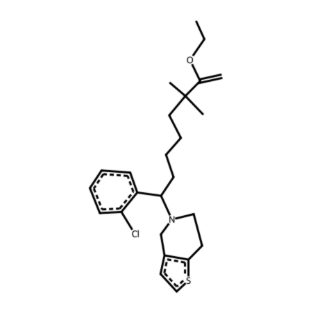 C=C(OCC)C(C)(C)CCCCC(c1ccccc1Cl)N1CCc2sccc2C1